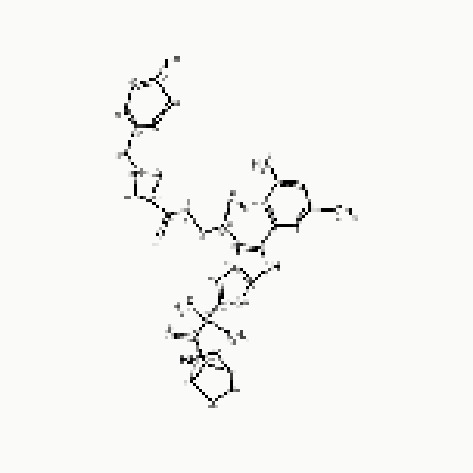 Cc1cc(C)cc(-c2[nH]c3sc(C(C)(C)C(=O)C4C5CCC4NC5)cc3c2[C@H](C)CNC(=O)C2CN(Cc3ccc(F)cc3)C2)c1